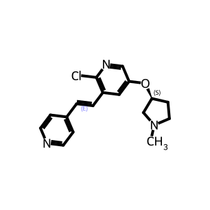 CN1CC[C@H](Oc2cnc(Cl)c(/C=C/c3ccncc3)c2)C1